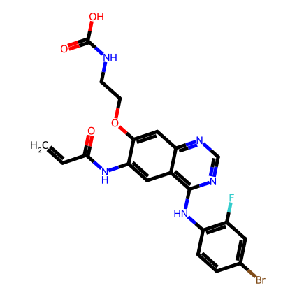 C=CC(=O)Nc1cc2c(Nc3ccc(Br)cc3F)ncnc2cc1OCCNC(=O)O